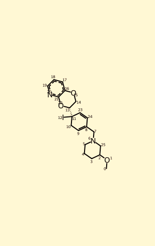 COC1CCCN(CC2=CCC(I)([C@H]3COc4cccnc4O3)C=C2)C1